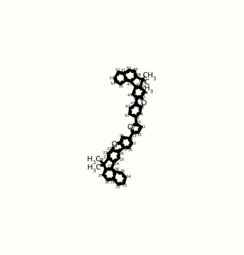 CC1(C)c2cc3oc4cc(-c5ccc(-c6ccc7c(c6)oc6cc8c(cc67)-c6c(ccc7ccccc67)C8(C)C)o5)ccc4c3cc2-c2c1ccc1ccccc21